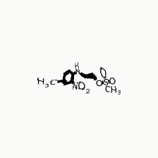 Cc1ccc(NCCOS(C)(=O)=O)c([N+](=O)[O-])c1